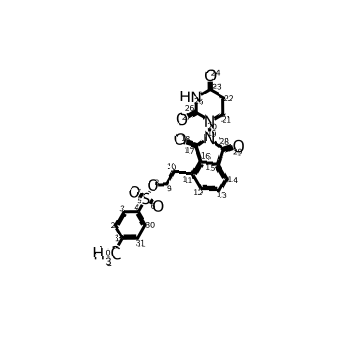 Cc1ccc(S(=O)(=O)OCCc2cccc3c2C(=O)N(N2CCC(=O)NC2=O)C3=O)cc1